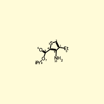 CCc1csc(C(=O)OC(C)C)c1N